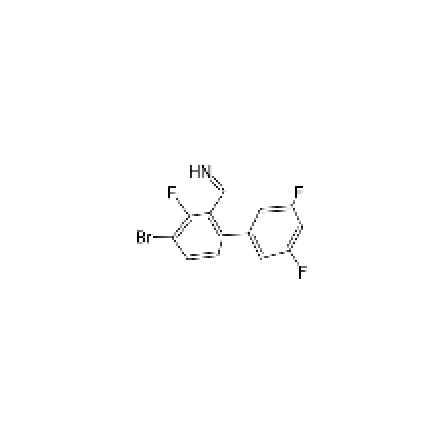 N=Cc1c(-c2cc(F)cc(F)c2)ccc(Br)c1F